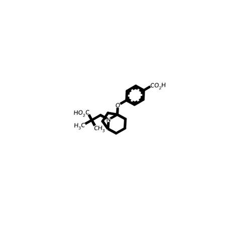 CC(C)(CN1C2CCCC1(Oc1ccc(C(=O)O)cc1)CC2)C(=O)O